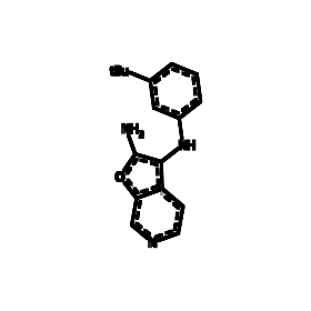 CC(C)(C)c1cccc(Nc2c(N)oc3cnccc23)c1